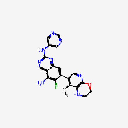 Cc1c(-c2cc3nc(Nc4cncnc4)ncc3c(N)c2F)cnc2c1NCCO2